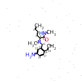 C=CCCC(C(=O)NC)N(C)Cc1cc(N)ccc1C=C